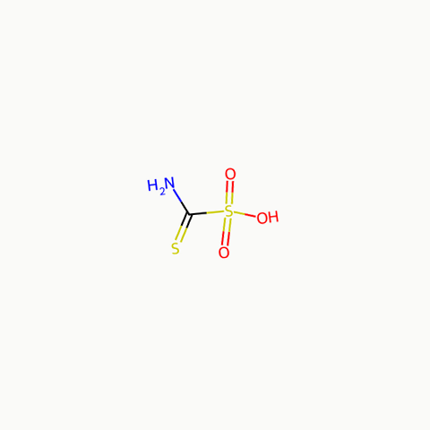 NC(=S)S(=O)(=O)O